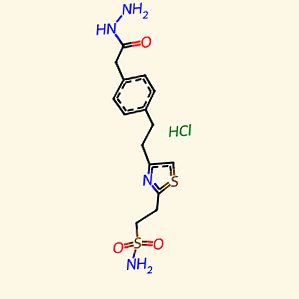 Cl.NNC(=O)Cc1ccc(CCc2csc(CCS(N)(=O)=O)n2)cc1